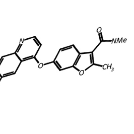 CNC(=O)c1c(C)oc2cc(Oc3ccnc4ccc(I)cc34)ccc12